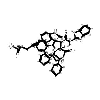 NC(=O)NCC#Cc1ccc2c(c1)[C@]1(C(=O)N2)[C@H](c2ccccc2OCCO)N2[C@H](c3ccccc3)[C@H](c3ccccc3)OC(=O)[C@H]2[C@@H]1C(=O)Nc1nc2ccccc2s1